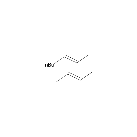 CC=CC.CC=CCCCC